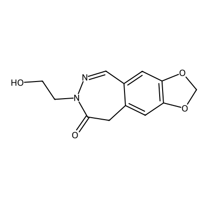 O=C1Cc2cc3c(cc2C=NN1CCO)OCO3